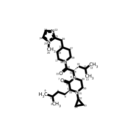 CC(C)CC[C@H]1C(=O)N([C@@H](CC(C)C)C(=O)N2CCC(Cc3nccn3C)CC2)CCN1C1CC1